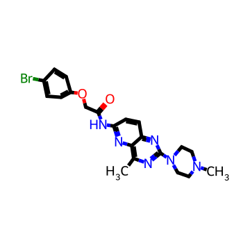 Cc1nc(N2CCN(C)CC2)nc2ccc(NC(=O)COc3ccc(Br)cc3)nc12